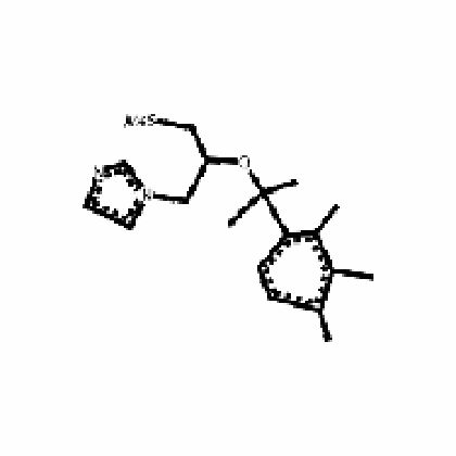 CSCC(Cn1ccnc1)OC(C)(C)c1ccc(C)c(C)c1C